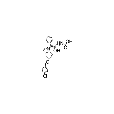 O=C(O)NCC[C@@H](O)[C@H](c1ccccc1)n1ccc2cc(OCc3ccc(Cl)cc3)ccc21